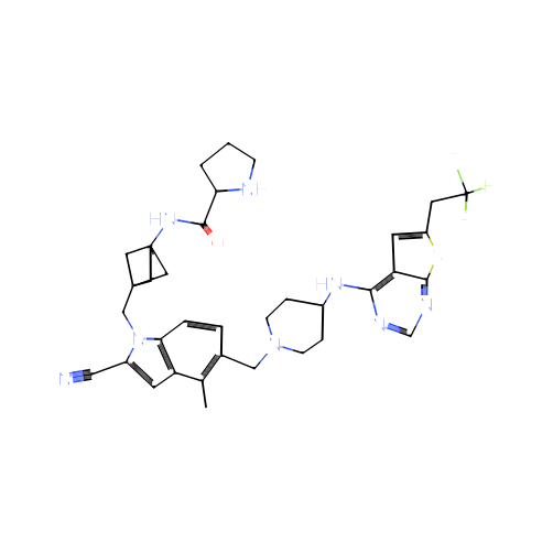 Cc1c(CN2CCC(Nc3ncnc4sc(CC(F)(F)F)cc34)CC2)ccc2c1cc(C#N)n2CC12CC(NC(=O)C3CCCN3)(C1)C2